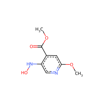 COC(=O)c1cc(OC)ncc1NO